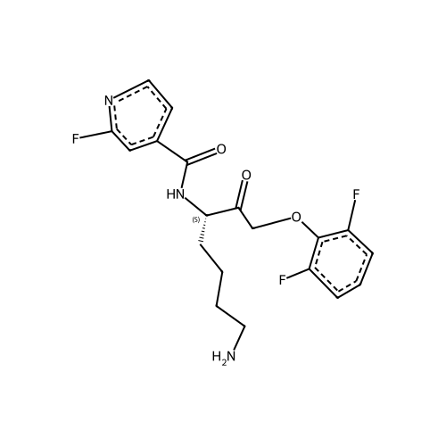 NCCCC[C@H](NC(=O)c1ccnc(F)c1)C(=O)COc1c(F)cccc1F